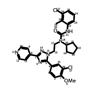 COc1ccc(-c2nc(-c3ccncc3)nn2CCN(C(=O)Nc2cccc(Cl)c2C)C2CCCC2)cc1Cl